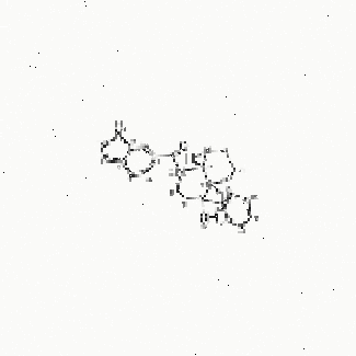 O=C(c1ccc2cc[nH]c2c1)N1CC[C@](O)(c2ccccc2)[C@H]2CCCC[C@H]21